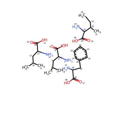 CC(C)CC(N)C(=O)O.CC(C)CC(N)C(=O)O.CCC(C)C(N)C(=O)O.NC(Cc1ccccc1)C(=O)O